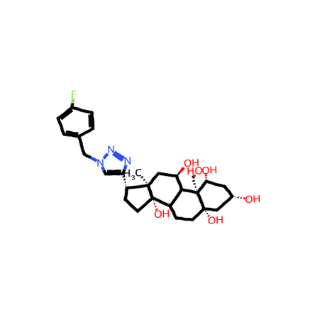 C[C@]12C[C@@H](O)C3C(CC[C@]4(O)C[C@@H](O)C[C@@H](O)[C@]34CO)[C@@]1(O)CC[C@@H]2c1cn(Cc2ccc(F)cc2)nn1